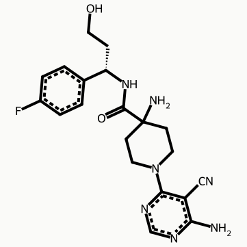 N#Cc1c(N)ncnc1N1CCC(N)(C(=O)N[C@@H](CCO)c2ccc(F)cc2)CC1